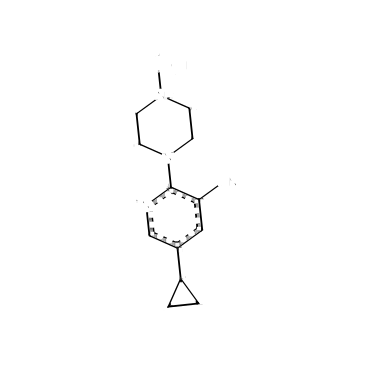 N#Cc1cc(C2CC2)cnc1N1CCN(C(=O)O)CC1